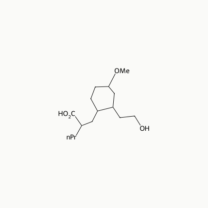 CCCC(CC1CCC(OC)CC1CCO)C(=O)O